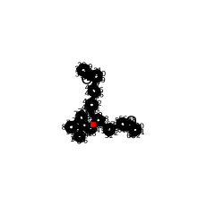 c1ccc(C2(c3ccccc3)c3ccccc3-c3c(N(c4ccc(-c5ccc(-c6cccc7c6oc6ccccc67)cc5)cc4)c4ccc(-c5cccc(-c6ccc7oc8ccccc8c7c6)c5)cc4)cccc32)cc1